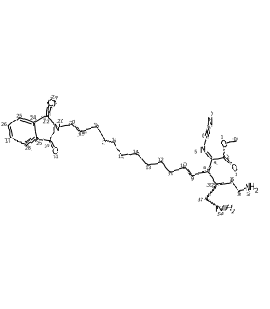 COC(=O)C(=NC#N)[C](CCCCCCCCCCCCN1C(=O)c2ccccc2C1=O)C(CN)CCN